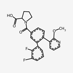 COc1ncccc1-c1ccc(C(=O)N2CCCC2C(=O)O)cc1-c1cccc(F)c1F